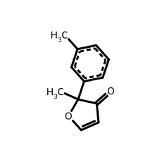 Cc1cccc(C2(C)OC=CC2=O)c1